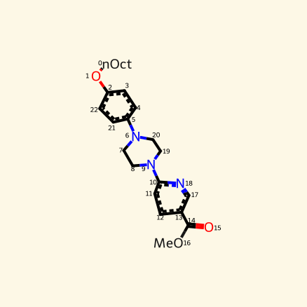 CCCCCCCCOc1ccc(N2CCN(c3ccc(C(=O)OC)cn3)CC2)cc1